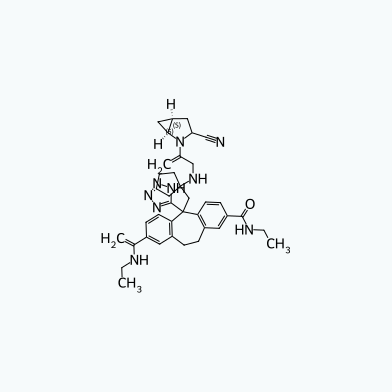 C=C(NCC)c1ccc2c(c1)CCc1cc(C(=O)NCC)ccc1C2(CC1(NCC(=C)N2C(C#N)C[C@@H]3C[C@@H]32)CCCC1)c1nnn[nH]1